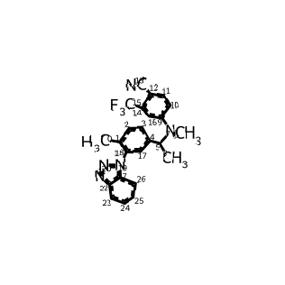 Cc1ccc(C(C)N(C)c2ccc(C#N)c(C(F)(F)F)c2)cc1-n1nnc2ccccc21